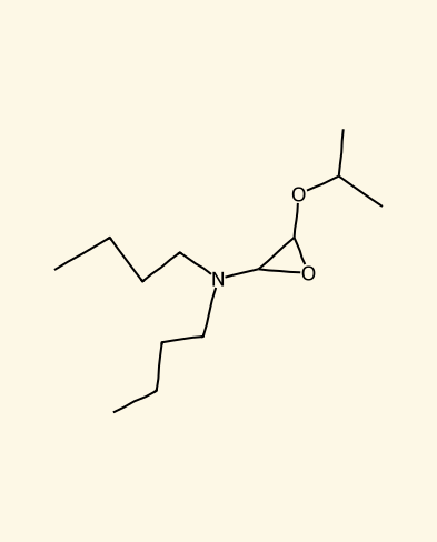 CCCCN(CCCC)C1OC1OC(C)C